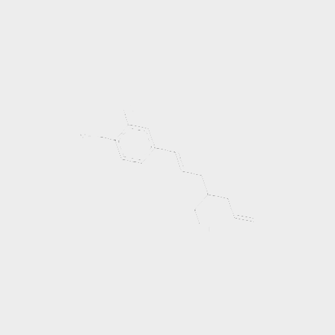 C=CCC(CO)CC=Cc1ccc(OC)c(C(=O)O)c1